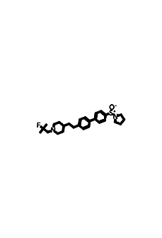 CC(C)(F)CN1CCC(CCc2ccc(-c3ccc([S+]([O-])N4CCCC4)cc3)cc2)CC1